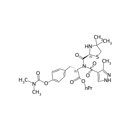 CCCOC(=O)[C@H](Cc1ccc(OC(=O)N(C)C)cc1)N(C(=O)[C@H]1NC(C)(C)CS1)S(=O)(=O)c1c[nH]nc1C